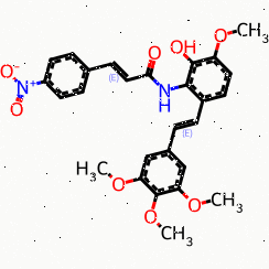 COc1ccc(/C=C/c2cc(OC)c(OC)c(OC)c2)c(NC(=O)/C=C/c2ccc([N+](=O)[O-])cc2)c1O